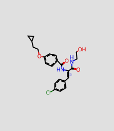 O=C(NCCO)/C(=C/c1ccc(Cl)cc1)NC(=O)c1ccc(OCCC2CC2)cc1